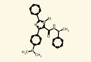 CCn1c(-c2ccccc2)nc(-c2ccc(N(C)C)cc2)c1C(=O)N[C@@H](C)c1ccccc1